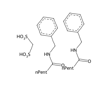 CCCCCC(=O)NCc1ccccc1.CCCCCC(=O)NCc1ccccc1.O=S(=O)(O)CS(=O)(=O)O